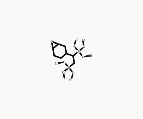 CCO[Si](CC(C1CCC2OC2C1)[Si](OCC)(OCC)OCC)(OCC)OCC